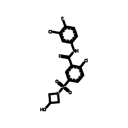 O=C(Nc1ccc(F)c(Cl)c1)c1cc(S(=O)(=O)N2CC(O)C2)ccc1Cl